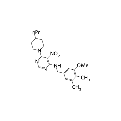 CCCC1CCN(c2ncnc(NCc3cc(C)c(C)c(OC)c3)c2[N+](=O)[O-])CC1